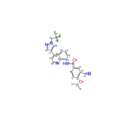 CC(C)Oc1ccc(C(=O)Nc2cccc3c(-c4cnn(CC(F)(F)F)c4)ccnc23)cc1C#N